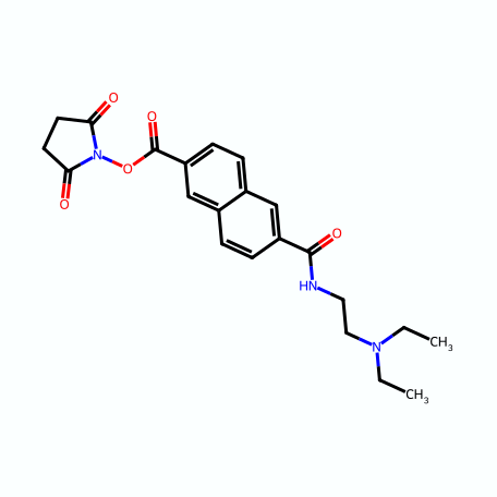 CCN(CC)CCNC(=O)c1ccc2cc(C(=O)ON3C(=O)CCC3=O)ccc2c1